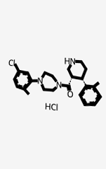 Cc1ccccc1[C@H]1CCNC[C@H]1C(=O)N1CCN(c2cc(Cl)ccc2C)CC1.Cl